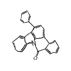 O=c1c2ccccc2c2ccc(-c3ccccc3)c3c4ccccc4n1c23